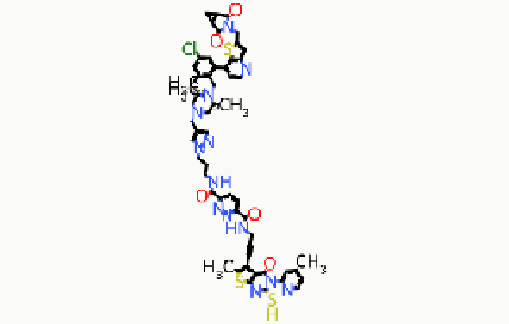 Cc1ccnc(-n2c(S)nc3sc(C)c(C#CCNC(=O)c4ccc(C(=O)NCCCn5cc(CN6C[C@H](C)N(Cc7c(C)cc(Cl)cc7-c7ccnc8cc(CN9C(=O)C%10CC%10C9=O)sc78)[C@@H](C)C6)cn5)nn4)c3c2=O)c1